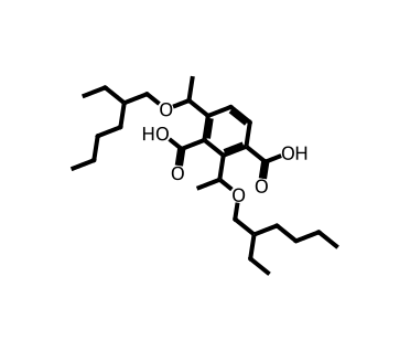 CCCCC(CC)COC(C)c1ccc(C(=O)O)c(C(C)OCC(CC)CCCC)c1C(=O)O